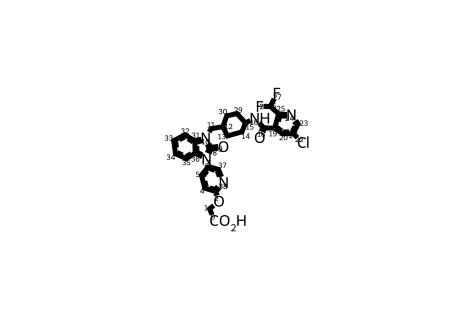 O=C(O)COc1ccc(-n2c(=O)n(CC3CCC(NC(=O)c4cc(Cl)cnc4C(F)F)CC3)c3ccccc32)cn1